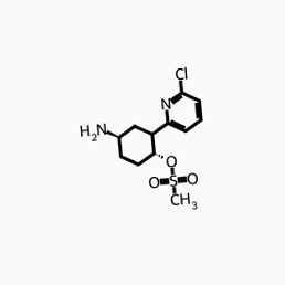 CS(=O)(=O)O[C@@H]1CC[C@@H](N)CC1c1cccc(Cl)n1